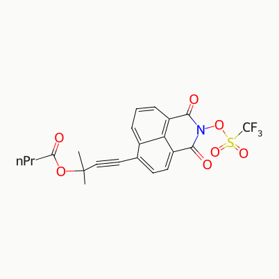 CCCC(=O)OC(C)(C)C#Cc1ccc2c3c(cccc13)C(=O)N(OS(=O)(=O)C(F)(F)F)C2=O